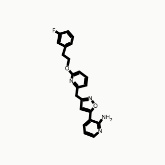 Nc1ncccc1-c1cc(Cc2cccc(OCCc3cccc(F)c3)n2)no1